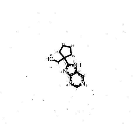 OCC1(c2nc3ncncc3[nH]2)CCCC1